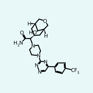 NC(=O)C([C@@H]1C[C@H]2COC[C@@H](C1)C2O)N1CCN(c2nncc(-c3ccc(C(F)(F)F)cc3)n2)CC1